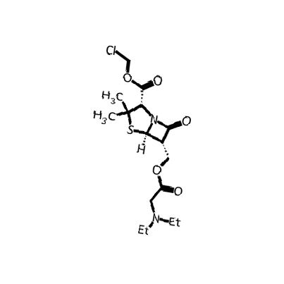 CCN(CC)CC(=O)OC[C@H]1C(=O)N2[C@@H]1SC(C)(C)[C@@H]2C(=O)OCCl